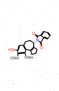 COc1c(O)cc2c(c1OC)C1=C(CCC1)[C@@H](N1C(=O)c3ccccc3C1=O)CC2